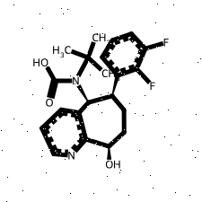 CC(C)(C)N(C(=O)O)[C@@H]1c2cccnc2[C@H](O)CC[C@@H]1c1cccc(F)c1F